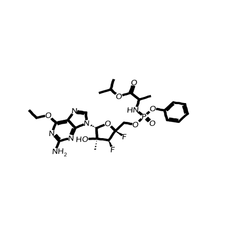 CCOc1nc(N)nc2c1ncn2[C@@H]1O[C@](F)(COP(=O)(NC(C)C(=O)OC(C)C)Oc2ccccc2)[C@@H](F)[C@@]1(C)O